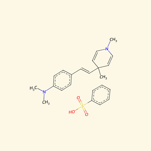 CN1C=CC(C)(C=Cc2ccc(N(C)C)cc2)C=C1.O=S(=O)(O)c1ccccc1